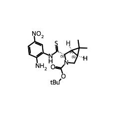 CC(C)(C)OC(=O)N1C[C@H]2[C@@H]([C@H]1C(=S)Nc1cc([N+](=O)[O-])ccc1N)C2(C)C